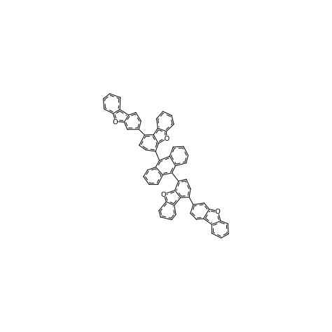 c1ccc2c(c1)oc1cc(-c3ccc(-c4c5ccccc5c(-c5ccc(-c6ccc7c(c6)oc6ccccc67)c6c5oc5ccccc56)c5ccccc45)c4oc5ccccc5c34)ccc12